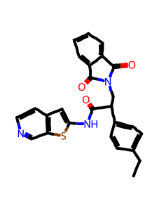 CCc1ccc(C(CN2C(=O)c3ccccc3C2=O)C(=O)Nc2cc3ccncc3s2)cc1